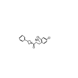 N[C@H](Cc1ccc(Cl)cc1Cl)C(=O)N1CC(c2ccccc2)C1